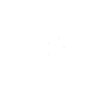 CC(=O)Cn1c(=O)c2c(ncn2C)n(C)c1=O